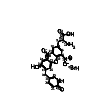 Br.N[C@@H](Cc1cc([N+](=O)[O-])c(Oc2ccc(O)c(Cc3ccc(=O)[nH]c3)c2)c([N+](=O)[O-])c1)C(=O)O